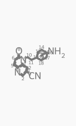 N#Cc1cnc2ccc(=O)n(CCC34CCC(N)(CC3)CO4)c2c1